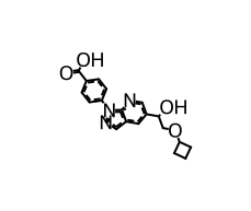 O=C(O)c1ccc(-n2ncc3cc(C(O)COC4CCC4)cnc32)cc1